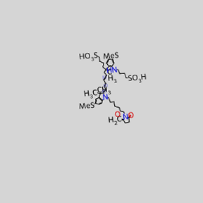 C=C1CCC(=O)N1CC(=O)CCCCCN1/C(=C/C=C/C=C/CC(C)(CCCCS(=O)(=O)O)c2cc(SC)ccc2NCCCCS(=O)(=O)O)C(C)(C)c2cc(SC)ccc21